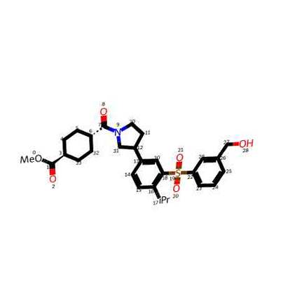 COC(=O)[C@H]1CC[C@H](C(=O)N2CCC(c3ccc(C(C)C)c(S(=O)(=O)c4cccc(CO)c4)c3)C2)CC1